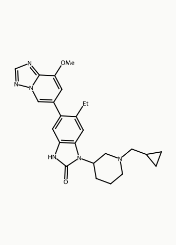 CCc1cc2c(cc1-c1cc(OC)c3ncnn3c1)[nH]c(=O)n2C1CCCN(CC2CC2)C1